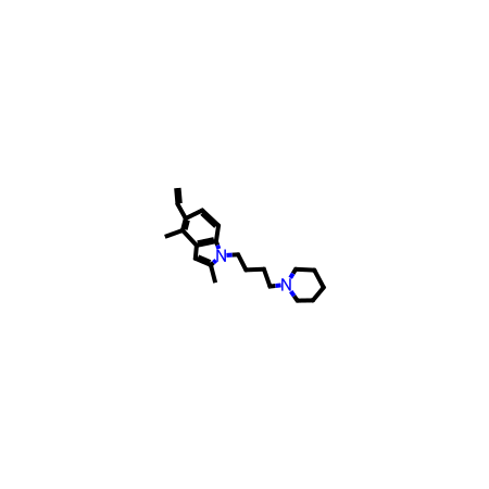 C=Cc1ccc2c(cc(C)n2CCCCN2CCCCC2)c1C